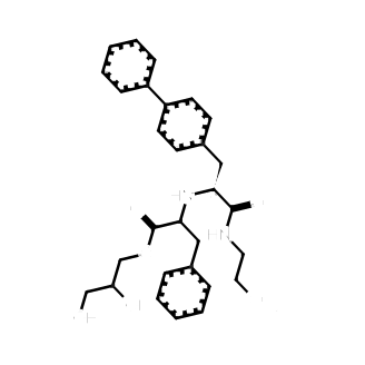 O=C(O)CCNC(=O)[C@H](Cc1ccc(-c2ccccc2)cc1)NC(Cc1ccccc1)C(=O)OCC(O)CO